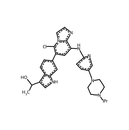 CC(O)c1c[nH]c2cc(-c3cc(Nc4ccc(N5CCN(C(C)C)CC5)cn4)c4nccn4c3Cl)ccc12